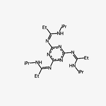 CCC(=Nc1nc(N=C(CC)NC(C)C)nc(N=C(CC)NC(C)C)n1)NC(C)C